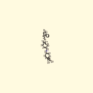 CCOC(=O)SCC[n+]1ccc(/C=C/c2ccc(N(C)C)cc2)cc1